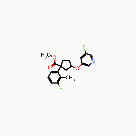 COC(=O)C1(c2cccc(F)c2C)CCC(Oc2cncc(F)c2)C1